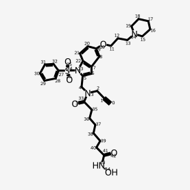 C#CCN(Cc1cc2cc(OCCCN3CCCCC3)ccc2n1S(=O)(=O)c1ccccc1)C(=O)CCCCCCC(=O)NO